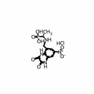 C[C@@H](NCc1cc([N+](=O)[O-])cc2[nH]c(=O)c(=O)[nH]c12)P(=O)(O)O.Cl